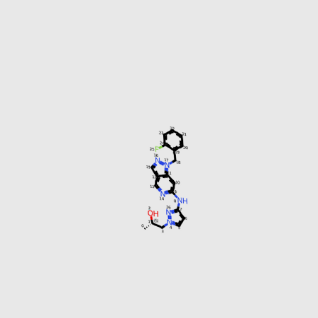 C[C@H](O)Cn1ccc(Nc2cc3c(cn2)cnn3Cc2ccccc2F)n1